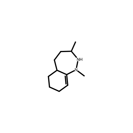 CC1CCC2CCCC=C2N(C)N1